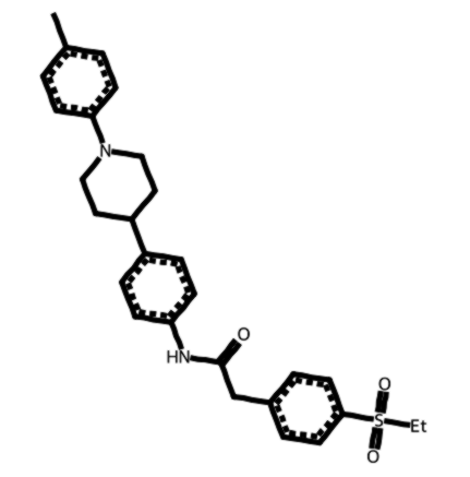 CCS(=O)(=O)c1ccc(CC(=O)Nc2ccc(C3CCN(c4ccc(C)cc4)CC3)cc2)cc1